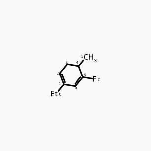 CCC1=CCC(C)C(F)=C1